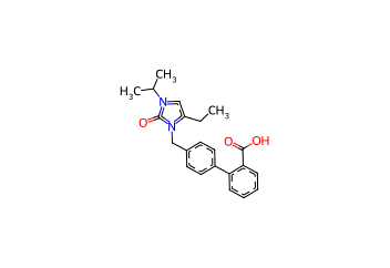 CCc1cn(C(C)C)c(=O)n1Cc1ccc(-c2ccccc2C(=O)O)cc1